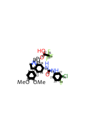 CCCN1CC[C@]2(c3ccc(OC)c(OC)c3)CC[C@@H](NC(=O)Nc3ccc(F)c(Cl)c3)C[C@H]12.O=C(O)C(F)(F)F